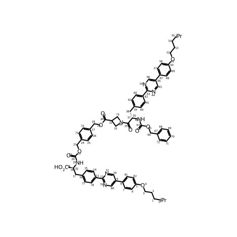 CC(C)CCCOc1ccc(-c2cnc(-c3ccc(C[C@H](NC(=O)OCc4ccc(COC(=O)C5CN(C(=O)[C@H](Cc6ccc(-c7ncc(-c8ccc(OCCCC(C)C)cc8)cn7)cc6)NC(=O)OCc6ccccc6)C5)cc4)C(=O)O)cc3)nc2)cc1